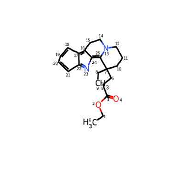 CCOC(=O)CCC1(CC)CCCN2CCC3=c4ccccc4=NC3=C21